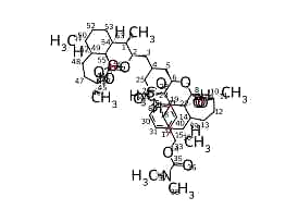 C[C@H]1[C@@H](CC(C[C@H]2O[C@@H]3O[C@]4(C)CC[C@H]5[C@H](C)CC[C@@H]([C@H]2C)[C@@]35OO4)CS(=O)(=O)c2ccc(COC(=O)N(C)C)cc2)O[C@@H]2O[C@]3(C)CC[C@H]4[C@H](C)CC[C@@H]1[C@@]24OO3